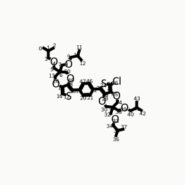 CC(C)COCC1(COCC(C)C)COc2csc(-c3ccc(-c4sc(Cl)c5c4OCC(COCC(C)C)(COCC(C)C)CO5)cc3)c2OC1